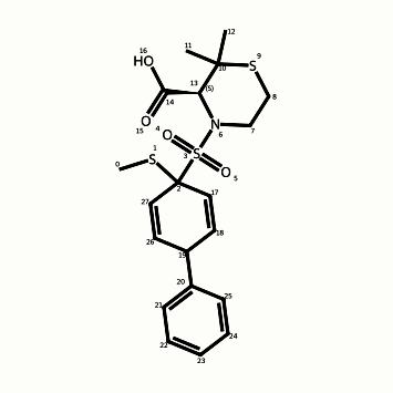 CSC1(S(=O)(=O)N2CCSC(C)(C)[C@@H]2C(=O)O)C=CC(c2ccccc2)C=C1